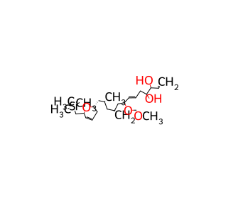 C=CC(O)C(O)C/C=C/C(CC(=C)CC(C)C[C@@H]1CC=CC(C[Si](C)(C)C)O1)OCOC